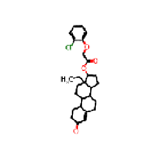 CCC12CCC3C4CCC(=O)C=C4CCC3C1CCC2OC(=O)COc1ccccc1Cl